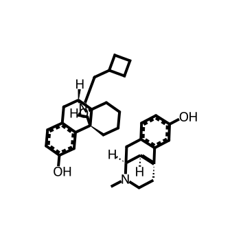 CN1CC[C@@]23CCCC[C@@H]2[C@@H]1Cc1ccc(O)cc13.Oc1ccc2c(c1)[C@@]13CCCC[C@@]1(O)[C@@H](C2)N(CC1CCC1)CC3